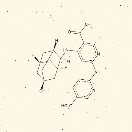 NC(=O)c1cnc(Nc2ccc(C(=O)O)cn2)cc1N[C@H]1[C@@H]2C[C@H]3C[C@H]1C[C@@](O)(C3)C2